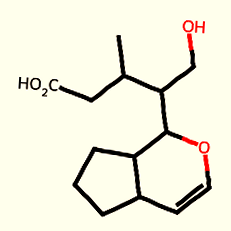 CC(CC(=O)O)C(CO)C1OC=CC2CCCC21